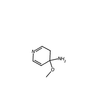 COC1(N)C=CN=CC1